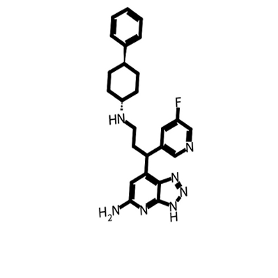 Nc1cc(C(CCN[C@H]2CC[C@H](c3ccccc3)CC2)c2cncc(F)c2)c2nn[nH]c2n1